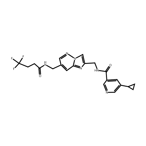 O=C(CCC(F)(F)F)NCc1cnn2cc(CNC(=O)c3cncc(C4CC4)c3)nc2c1